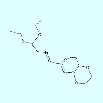 CCOC(CN=Cc1ccc2c(c1)OCCO2)OCC